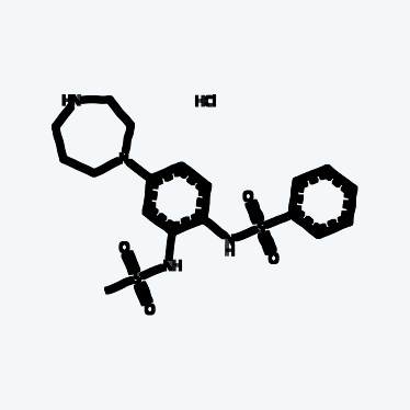 CS(=O)(=O)Nc1cc(N2CCCNCC2)ccc1NS(=O)(=O)c1ccccc1.Cl